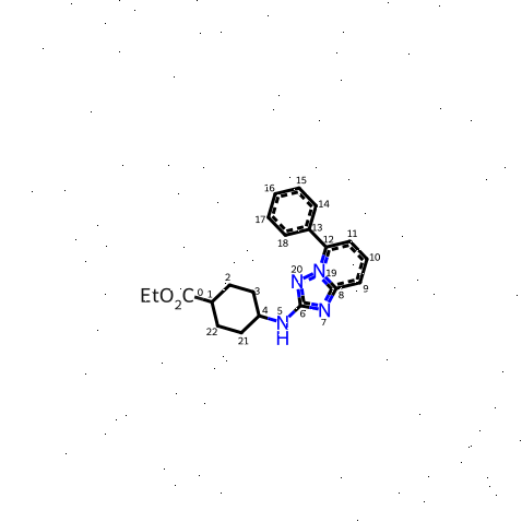 CCOC(=O)C1CCC(Nc2nc3cccc(-c4ccccc4)n3n2)CC1